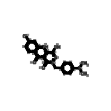 CN(C)c1ccc(Cn2nc(O)c3[nH]c4cc(Cl)ccc4c(=O)c3c2=O)cc1